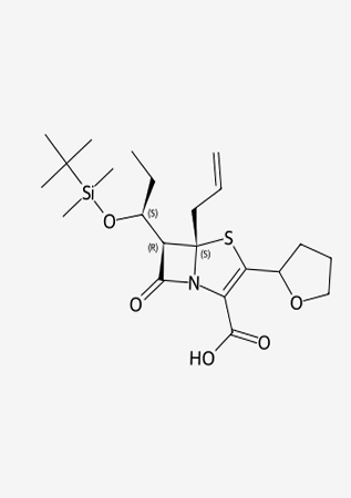 C=CC[C@@]12SC(C3CCCO3)=C(C(=O)O)N1C(=O)[C@H]2[C@H](CC)O[Si](C)(C)C(C)(C)C